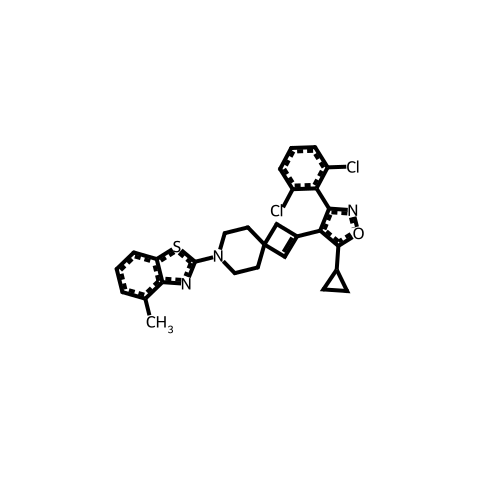 Cc1cccc2sc(N3CCC4(C=C(c5c(-c6c(Cl)cccc6Cl)noc5C5CC5)C4)CC3)nc12